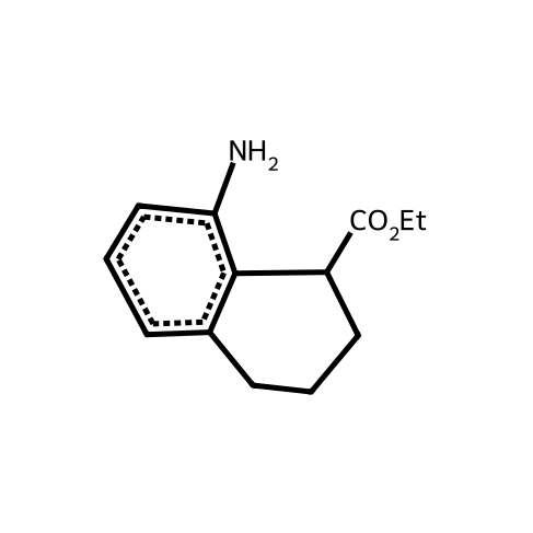 CCOC(=O)C1CCCc2cccc(N)c21